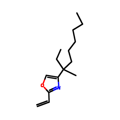 C=Cc1nc(C(C)(CC)CCCCCC)co1